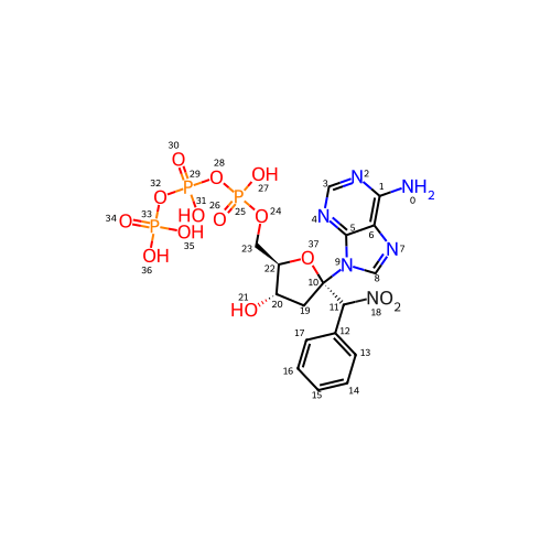 Nc1ncnc2c1ncn2[C@@]1(C(c2ccccc2)[N+](=O)[O-])C[C@H](O)[C@@H](COP(=O)(O)OP(=O)(O)OP(=O)(O)O)O1